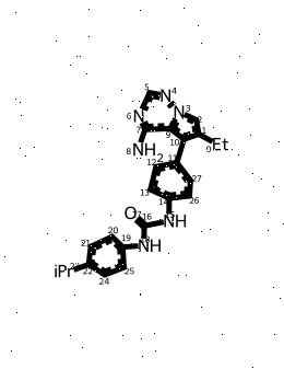 [CH2]Cc1cn2ncnc(N)c2c1-c1ccc(NC(=O)Nc2ccc(C(C)C)cc2)cc1